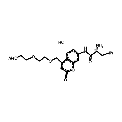 COCCOCCOCc1cc(=O)oc2cc(NC(=O)[C@@H](N)CC(C)C)ccc12.Cl